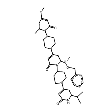 COC1=CC(=O)N(C2CCN(C3=CC(=O)N(C4CCN(C5=CC(=O)NC(C(C)C)C5)CC4)C([C@H](C)OCc4ccccc4)C3)CC2)C(C)C1